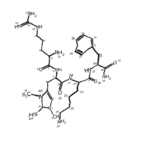 CN1C=C(CC(NC(=O)C(N)CCCNC(=N)N)C(=O)NC(CCCCN)C(=O)NC(Cc2ccccc2)C(N)=O)N(C)C1S